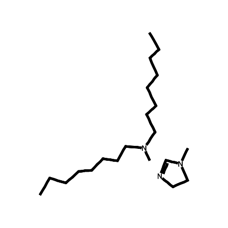 CCCCCCCCN(C)CCCCCCCC.CN1C=NCC1